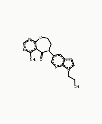 Nc1ncnc2c1C(=O)N(c1cnc3c(ccn3CCO)c1)CCO2